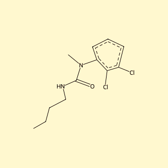 CCCCNC(=O)N(C)c1cccc(Cl)c1Cl